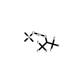 C[Si](C)(C)[O][Zn][O]C(C(F)(F)F)C(F)(F)F